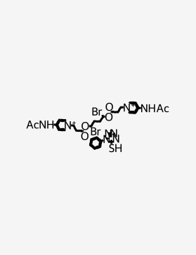 CC(=O)Nc1cc[n+](CCC(=O)OC(Br)CCC(Br)OC(=O)CC[n+]2ccc(NC(C)=O)cc2)cc1.Sc1nnnn1-c1ccccc1